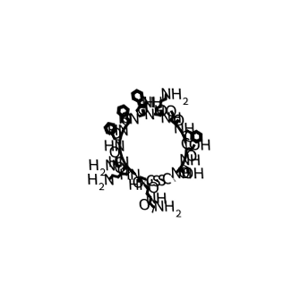 C[C@@H]1CSSC[C@H](NC(=O)CNC(=O)[C@H](C)N)C(=O)N[C@@H](CCCCN)C(=O)N[C@@H](CC(N)=O)C(=O)N[C@@H](Cc2ccccc2)C(=O)N[C@@H](Cc2ccccc2)C(=O)N[C@@H](Cc2c[nH]c3ccccc23)C(=O)N[C@@H](CCCCN)C(=O)N[C@@H]([C@@H](C)O)C(=O)N[C@@H](Cc2ccccc2)C(=O)C[C@@H]([C@@H](C)O)C(=O)N[C@@H](CO)C(=O)N1